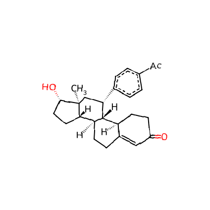 CC(=O)c1ccc([C@H]2C[C@]3(C)[C@@H](O)CC[C@H]3[C@@H]3CCC4=CC(=O)CC[C@@H]4[C@H]32)cc1